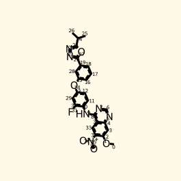 COc1cc2ncnc(Nc3ccc(Oc4cccc(-c5nnc(C(C)C)o5)c4)cc3F)c2cc1[N+](=O)[O-]